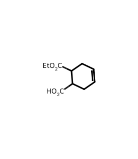 [CH2]COC(=O)C1CC=CCC1C(=O)O